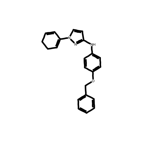 C1=CC(n2ccc(Nc3ccc(OCc4ccccc4)cc3)n2)=CCC1